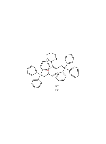 [Br-].[Br-].c1ccc([P+](Cc2ccc(C[P+](c3ccccc3)(c3ccccc3)c3ccccc3)c(C3OCCCO3)c2)(c2ccccc2)c2ccccc2)cc1